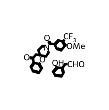 COc1ccc(C(=O)N2CCC3(CC2)CC(=O)c2ccccc2O3)cc1C(F)(F)F.O=CCc1ccccc1O